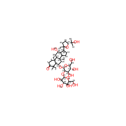 CC1(C)C(=O)CC[C@@]2(C)C1[C@@H](O[C@H]1OC(CO)[C@H](O)C(O)C1O[C@H]1OC(CO)[C@H](O)C(O)C1O)C[C@]1(C)C2C[C@@H](O)C2C([C@]3(C)CC[C@H](C(C)(C)O)O3)CC[C@]21C